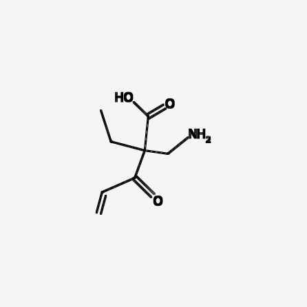 C=CC(=O)C(CC)(CN)C(=O)O